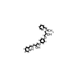 CN(Cc1ccccn1)C[C@H](O)COc1ccc(OC[C@H](O)CNCc2ccccn2)cc1